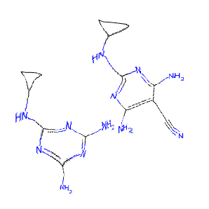 N#Cc1c(N)nc(NC2CC2)nc1N.Nc1nc(N)nc(NC2CC2)n1